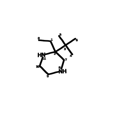 CCC1(C(C)(C)C)CNCCN1